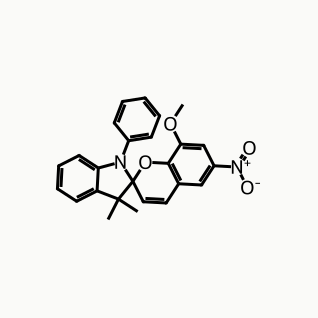 COc1cc([N+](=O)[O-])cc2c1OC1(C=C2)N(c2ccccc2)c2ccccc2C1(C)C